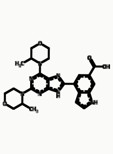 CC1COCCN1c1nc(N2CCOCC2C)c2nc(-c3cc(C(=O)O)cc4[nH]ccc34)[nH]c2n1